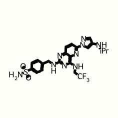 CC(C)Nc1cnn(-c2ccc3nc(NCc4ccc(S(N)(=O)=O)cc4)nc(NCC(F)(F)F)c3n2)c1